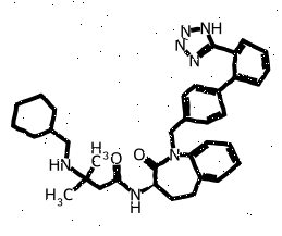 CC(C)(CC(=O)N[C@@H]1CCc2ccccc2N(Cc2ccc(-c3ccccc3-c3nnn[nH]3)cc2)C1=O)NCC1CCCCC1